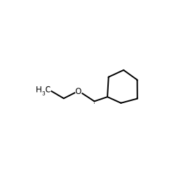 CCO[CH]C1CCCCC1